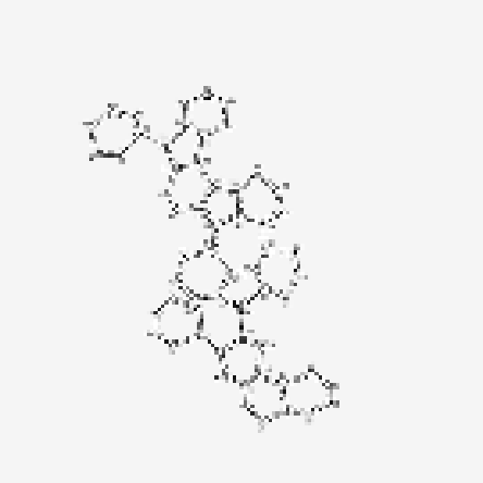 c1ccc(-c2nc3ccc4ccccc4c3nc2-n2c3cccc4c5cccc6c7c8c9ccccc9n(-c9ccccc9)c8ccc7n(c7cccc2c7c43)c56)cc1